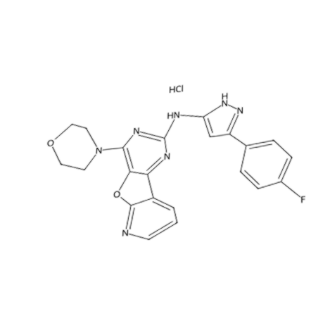 Cl.Fc1ccc(-c2cc(Nc3nc(N4CCOCC4)c4oc5ncccc5c4n3)[nH]n2)cc1